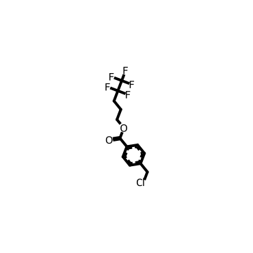 O=C(OCCCC(F)(F)C(F)(F)F)c1ccc(CCl)cc1